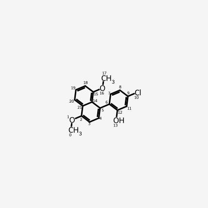 COc1ccc(-c2ccc(Cl)cc2O)c2c(OC)cccc12